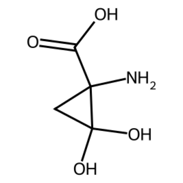 NC1(C(=O)O)CC1(O)O